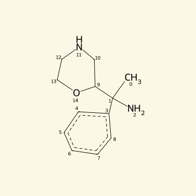 CC(N)(c1ccccc1)C1CNCCO1